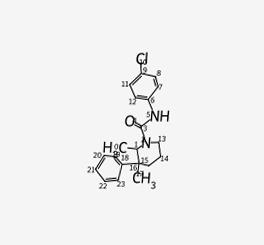 CC1N(C(=O)Nc2ccc(Cl)cc2)CCCC1(C)c1ccccc1